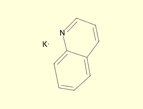 [K].c1ccc2ncccc2c1